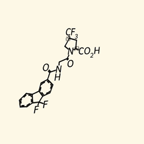 O=C(NCC(=O)N1C[C@@H](C(F)(F)F)C[C@H]1C(=O)O)c1ccc2c(c1)-c1ccccc1C2(F)F